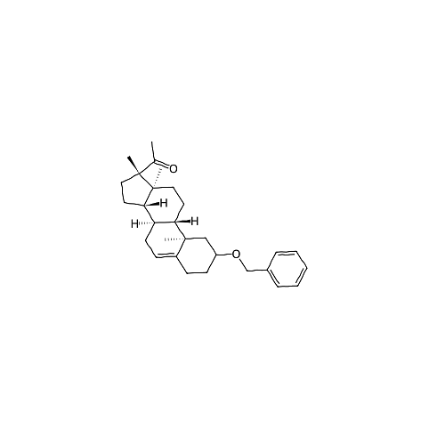 CC(=O)[C@@]1(C)CC[C@H]2[C@@H]3CC=C4CCC(OCc5ccccc5)C[C@]4(C)[C@H]3CC[C@@]21C